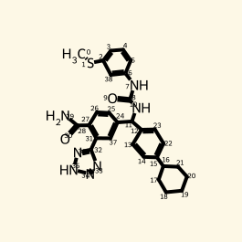 CSc1cccc(NC(=O)NC(c2ccc(C3CCCCC3)cc2)c2ccc(C(N)=O)c(-c3nn[nH]n3)c2)c1